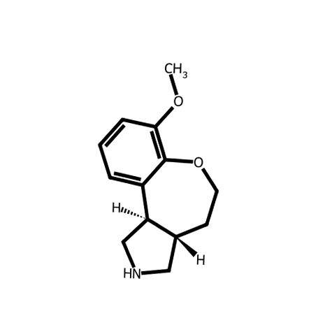 COc1cccc2c1OCC[C@@H]1CNC[C@@H]21